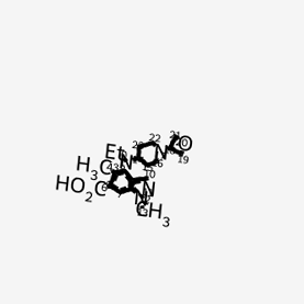 CCN(c1c(C)c(C(=O)O)cc2c1cnn2C)C1CCN(C2COC2)CC1